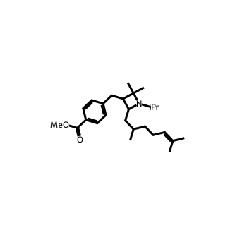 COC(=O)c1ccc(CC2C(CC(C)CCC=C(C)C)N(C(C)C)C2(C)C)cc1